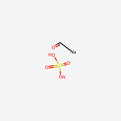 O=S(=O)(O)O.O=[CH][Na]